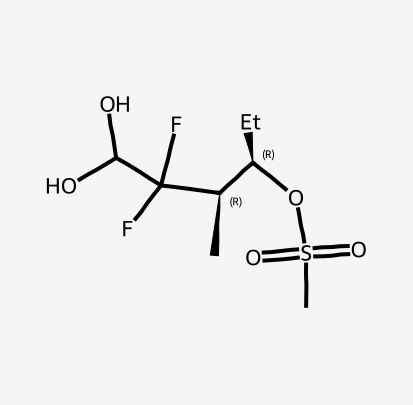 CC[C@@H](OS(C)(=O)=O)[C@@H](C)C(F)(F)C(O)O